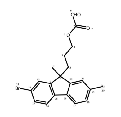 CC1(CCCOC(=O)C=O)c2cc(Br)ccc2-c2ccc(Br)cc21